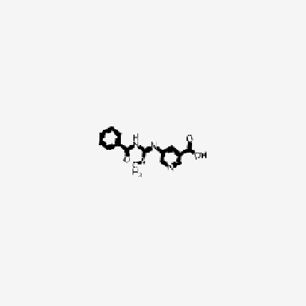 CS/C(=N\c1cncc(C(=O)O)c1)NC(=O)c1ccccc1